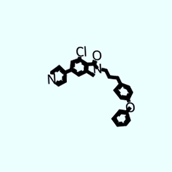 O=C1c2c(Cl)cc(-c3ccncc3)cc2CN1CCCc1ccc(Oc2ccccc2)cc1